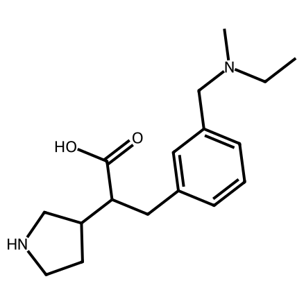 CCN(C)Cc1cccc(CC(C(=O)O)C2CCNC2)c1